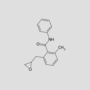 Cc1cccc(CC2CO2)c1C(=O)Nc1ccccc1